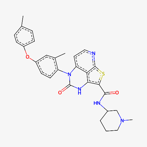 Cc1ccc(Oc2ccc(N3C(=O)Nc4c(C(=O)NC5CCCN(C)C5)sc5nccc3c45)c(C)c2)cc1